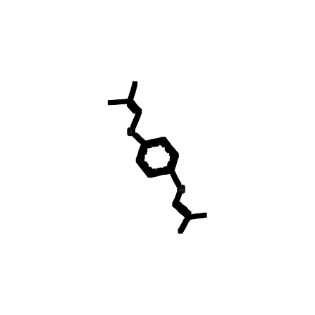 CC(C)=COc1ccc(OC=C(C)C)cc1